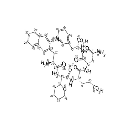 NC(=O)C[C@H](NC(=O)[C@H](CCC(=O)O)NC(=O)C(NC(=O)[C@@H](N)Cc1ccc2ccccc2c1)C1CCCCO1)C(=O)N[C@@H](Cc1cccnc1)C(=O)O